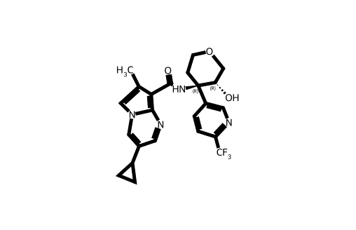 Cc1cn2cc(C3CC3)cnc2c1C(=O)N[C@@]1(c2ccc(C(F)(F)F)nc2)CCOC[C@@H]1O